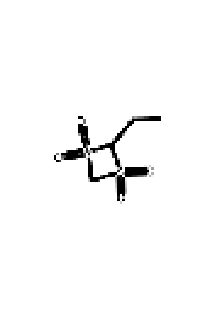 CCC1S(=O)(=O)CS1(=O)=O